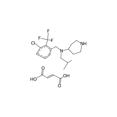 CC(C)CN(Cc1cccc(Cl)c1C(F)(F)F)C1CCNCC1.O=C(O)C=CC(=O)O